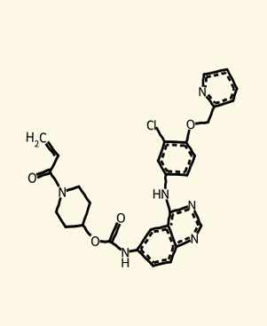 C=CC(=O)N1CCC(OC(=O)Nc2ccc3ncnc(Nc4ccc(OCc5ccccn5)c(Cl)c4)c3c2)CC1